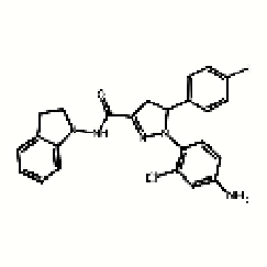 Nc1ccc(N2N=C(C(=O)NN3CCc4ccccc43)CC2c2ccc(I)cc2)c(Cl)c1